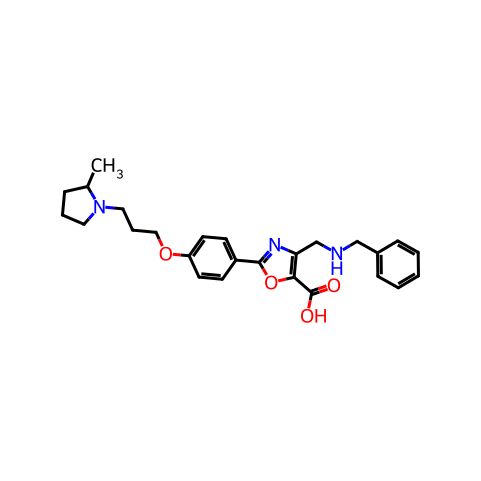 CC1CCCN1CCCOc1ccc(-c2nc(CNCc3ccccc3)c(C(=O)O)o2)cc1